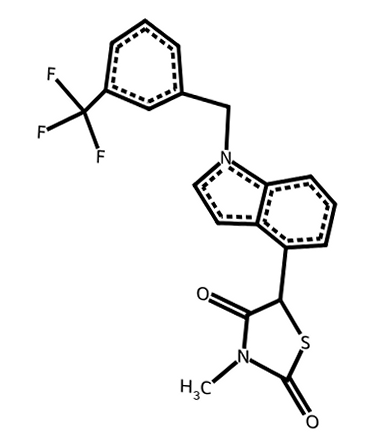 CN1C(=O)SC(c2cccc3c2ccn3Cc2cccc(C(F)(F)F)c2)C1=O